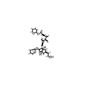 C=C(C#CC(C)OC1CCCCO1)C(=C)C(=C)C#C[C@@H]1[C@H]2CC(=CCO)C[C@H]2C[C@H]1OC1CCCCO1